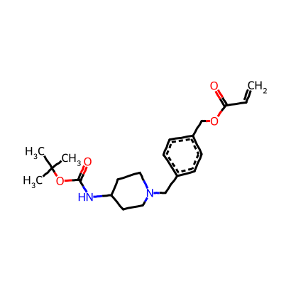 C=CC(=O)OCc1ccc(CN2CCC(NC(=O)OC(C)(C)C)CC2)cc1